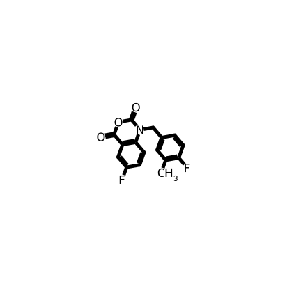 Cc1cc(Cn2c(=O)oc(=O)c3cc(F)ccc32)ccc1F